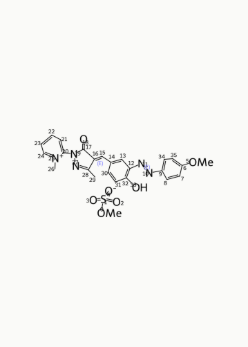 COS(=O)(=O)[O-].COc1ccc(/N=N/c2cc(/C=C3/C(=O)N(c4cccc[n+]4C)N=C3C)ccc2O)cc1